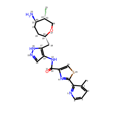 Cc1cccnc1-c1nc(C(=O)Nc2cn[nH]c2C[C@@H]2CC[C@@H](N)[C@H](F)CO2)cs1